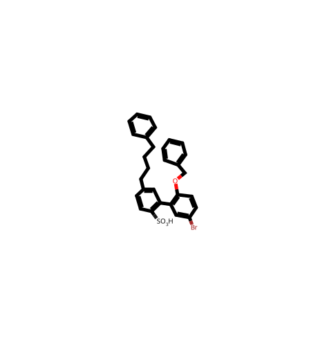 O=S(=O)(O)c1ccc(CCCCc2ccccc2)cc1-c1cc(Br)ccc1OCc1ccccc1